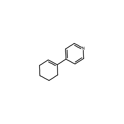 C1=C(c2ccncc2)CCCC1